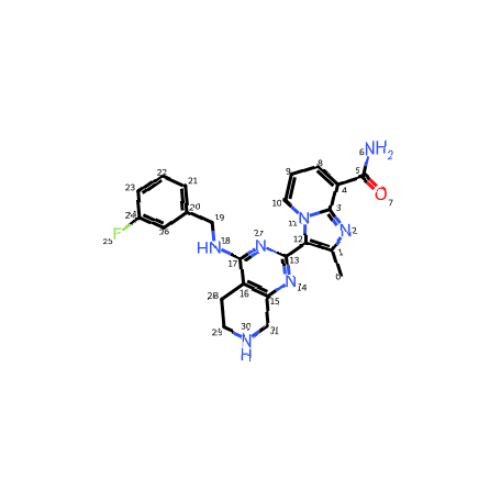 Cc1nc2c(C(N)=O)cccn2c1-c1nc2c(c(NCc3cccc(F)c3)n1)CCNC2